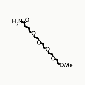 COCCOCCOCCOCCOCCCC(N)=O